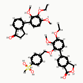 CCOc1c(OC)ccc(-c2cccc3c2CCC3=O)c1OC.CCOc1ccc(-c2ccc3c(c2)COC3=O)c(OCc2ccc(S(C)(=O)=O)cc2)c1OC